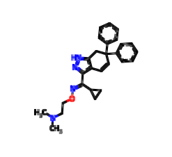 CN(C)CCO/N=C(/c1n[nH]c2c1C=CC(c1ccccc1)(c1ccccc1)C2)C1CC1